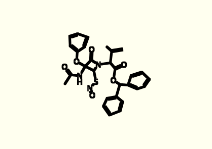 C=C(C)C(C(=O)OC(c1ccccc1)c1ccccc1)N1C(=O)C(NC(C)=O)(Oc2ccccc2)C1SN=O